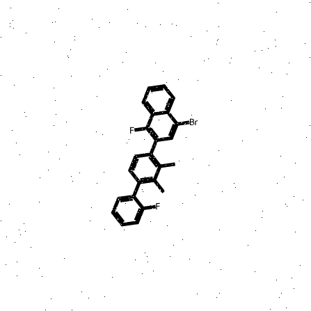 Cc1c(-c2ccccc2F)ccc(-c2cc(Br)c3ccccc3c2F)c1C